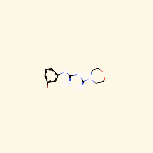 Cl.N=C(NC(=N)N1CCOCC1)Nc1cccc(Br)c1